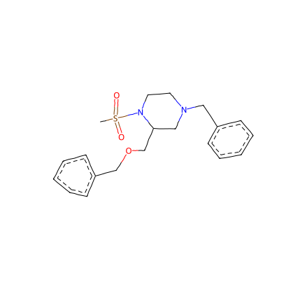 CS(=O)(=O)N1CCN(Cc2ccccc2)CC1COCc1ccccc1